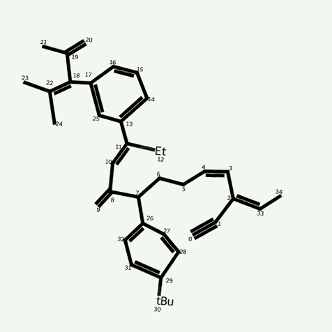 C#CC(/C=C\CCC(C(=C)/C=C(\CC)c1cccc(C(C(=C)C)=C(C)C)c1)c1ccc(C(C)(C)C)cc1)=C/C